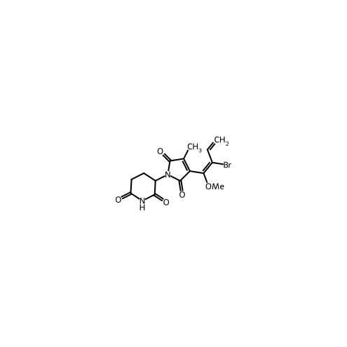 C=C/C(Br)=C(/OC)C1=C(C)C(=O)N(C2CCC(=O)NC2=O)C1=O